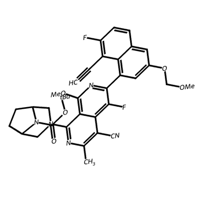 C#Cc1c(F)ccc2cc(OCOC)cc(-c3nc(OC)c4c(N5CC6CCC(C5)N6C(=O)OC(C)(C)C)nc(C)c(C#N)c4c3F)c12